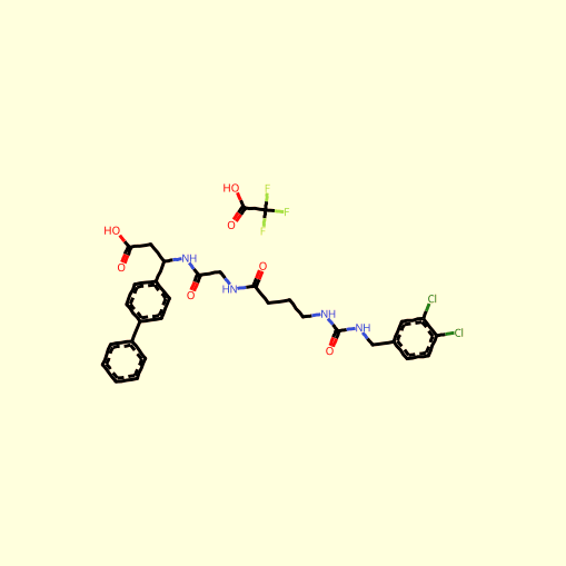 O=C(O)C(F)(F)F.O=C(O)CC(NC(=O)CNC(=O)CCCNC(=O)NCc1ccc(Cl)c(Cl)c1)c1ccc(-c2ccccc2)cc1